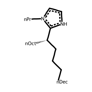 CCCCCCCCCCCCC[C@H](CCCCCCCC)c1[nH]cc[n+]1CCC